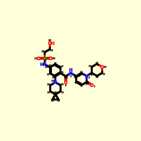 O=C(Nc1ccc(=O)n(C2CCOCC2)c1)c1ccc(NS(=O)(=O)CCO)cc1N1CCC2(CC1)CC2